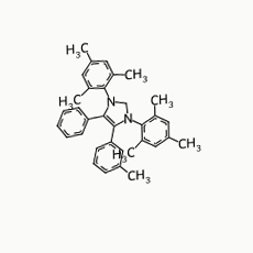 Cc1cccc(C2=C(c3ccccc3)N(c3c(C)cc(C)cc3C)CN2c2c(C)cc(C)cc2C)c1